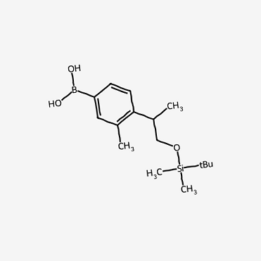 Cc1cc(B(O)O)ccc1C(C)CO[Si](C)(C)C(C)(C)C